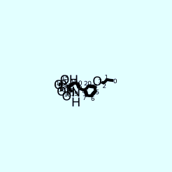 CCCOc1cccc(-c2ccc(P(=O)(O)O)c(=O)[nH]2)c1